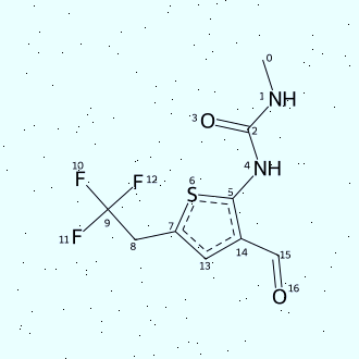 CNC(=O)Nc1sc(CC(F)(F)F)cc1C=O